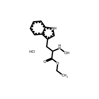 CCOC(=O)C(Cc1c[nH]c2ccccc12)NO.Cl